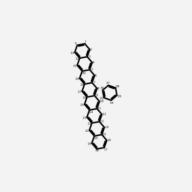 c1ccc2cc3cc4cc5cc6cc7cc8ccccc8cc7cc6cc5cc4cc3cc2c1.c1ccccc1